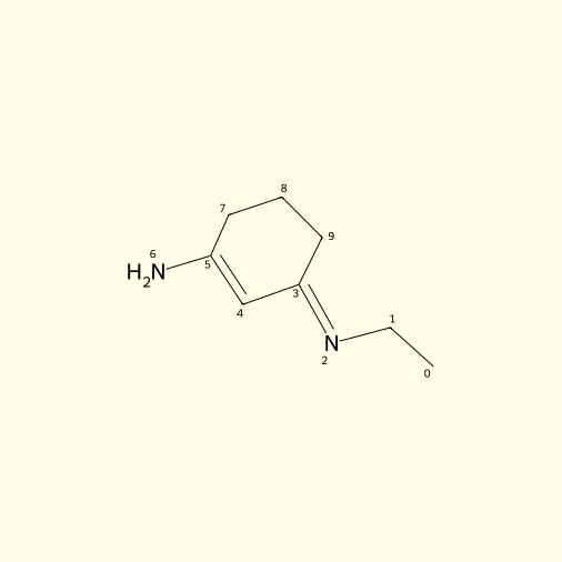 CC/N=C1/C=C(N)CCC1